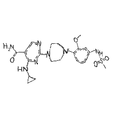 COc1cc(NS(C)(=O)=O)ccc1N1CCN(c2ncc(C(N)=O)c(NC3CC3)n2)CC1